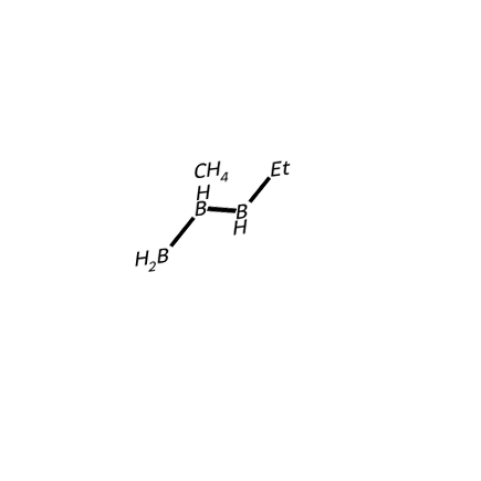 BBBCC.C